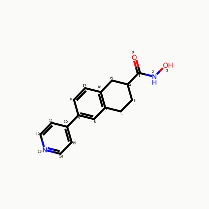 O=C(NO)C1CCc2cc(-c3ccncc3)ccc2C1